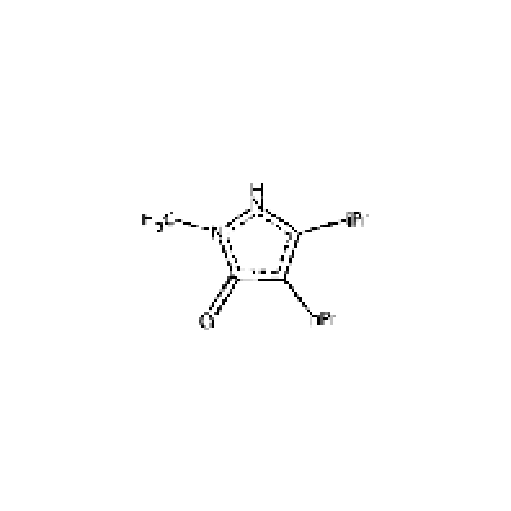 CCCc1c(C(C)C)[nH]n(C)c1=O